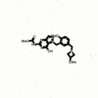 COC(=O)Nc1nc(O)c2c(cnn2Cc2cc(CN3CC(OC)C3)ccc2OC)n1